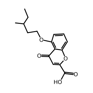 CCC(C)CCOc1cccc2oc(C(=O)O)cc(=O)c12